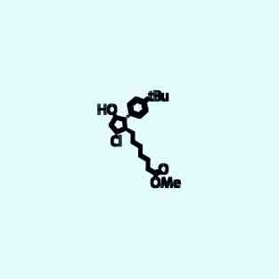 COC(=O)CCCCCC[C@@H]1[C@@H](c2ccc(C(C)(C)C)cc2)[C@H](O)C[C@H]1Cl